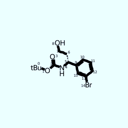 CC(C)(C)OC(=O)N[C@H](CCO)c1cccc(Br)c1